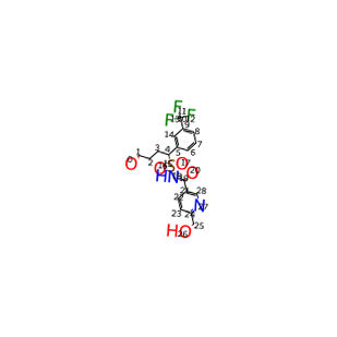 O=CCCC(c1cccc(C(F)(F)F)c1)S(=O)(=O)NC(=O)c1ccc(CO)nc1